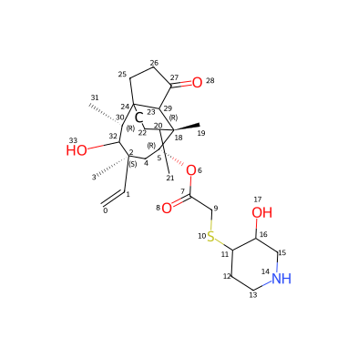 C=C[C@]1(C)C[C@@H](OC(=O)CSC2CCNCC2O)[C@]2(C)C(C)CCC3(CCC(=O)C32)[C@@H](C)C1O